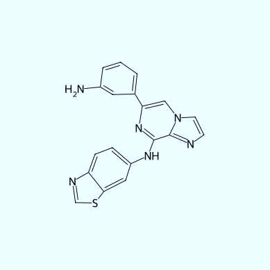 Nc1cccc(-c2cn3ccnc3c(Nc3ccc4ncsc4c3)n2)c1